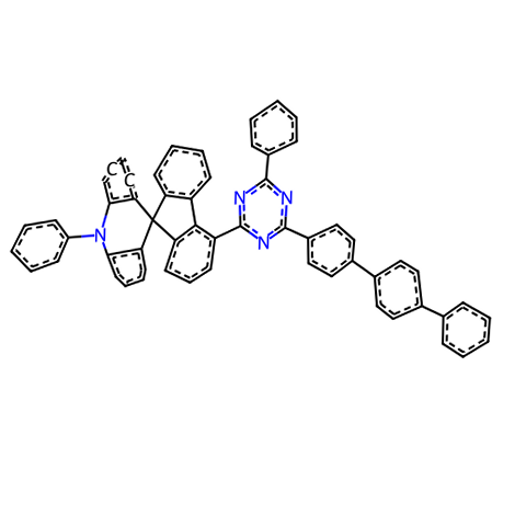 c1ccc(-c2ccc(-c3ccc(-c4nc(-c5ccccc5)nc(-c5cccc6c5-c5ccccc5C65c6ccccc6N(c6ccccc6)c6ccccc65)n4)cc3)cc2)cc1